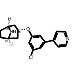 Clc1cc(O[C@@H]2C[C@H]3CC[C@@H](C2)N3)cc(-c2ccncc2)c1